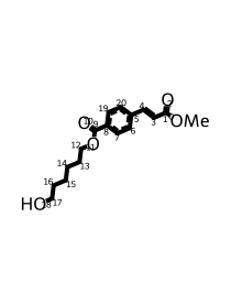 COC(=O)C=Cc1ccc(C(=O)OCCCCCCO)cc1